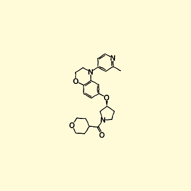 Cc1cc(N2CCOc3ccc(O[C@H]4CCN(C(=O)C5CCOCC5)C4)cc32)ccn1